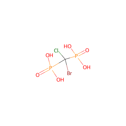 O=P(O)(O)C(Cl)(Br)P(=O)(O)O